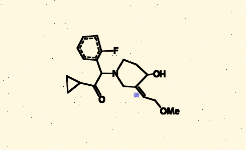 COC/C=C1/CN(C(C(=O)C2CC2)c2ccccc2F)CCC1O